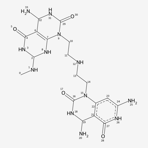 CNC1NC(=O)C2=C(N1)N(CCNCCN1C(=O)NC(N)c3c1cc(N)[nH]c3=O)C(=O)NC2N